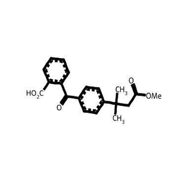 COC(=O)CC(C)(C)c1ccc(C(=O)c2ccccc2C(=O)O)cc1